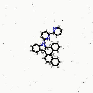 c1ccc(-c2cccc(-n3c4ccccc4c4c5ccc6ccccc6c5c5ccccc5c43)n2)nc1